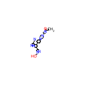 C=CC(=O)N1CC(N2CCN(c3ccc(-c4cc(-c5cnn(CCO)c5)cn5ncc(C#N)c45)cc3)CC2)C1